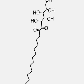 CCCCCCCCCCCCCC(=O)C(=O)[C@H](O)[C@@H](O)[C@H](O)[C@H](O)CO